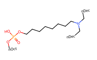 CCCCCCCCCCCN(CCCCCCCCCCC)CCCCCCCCOP(=O)(O)OCCCCCCCC